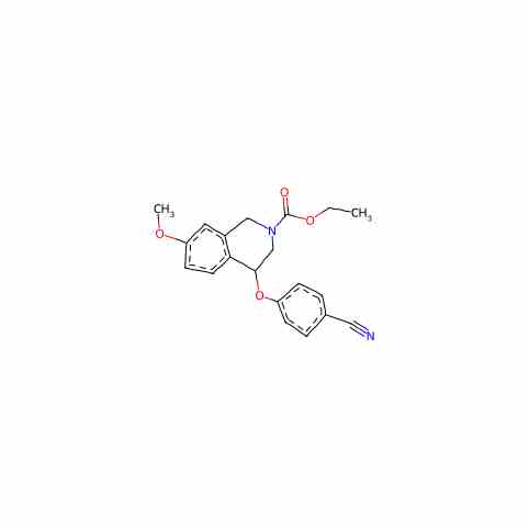 CCOC(=O)N1Cc2cc(OC)ccc2C(Oc2ccc(C#N)cc2)C1